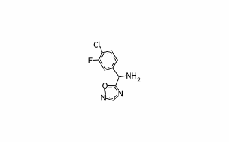 NC(c1ccc(Cl)c(F)c1)c1ncno1